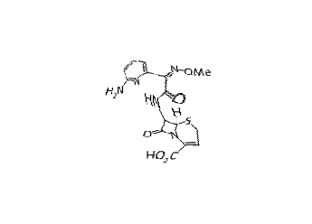 CO/N=C(\C(=O)NC1C(=O)N2C(C(=O)O)=CCS[C@H]12)c1cccc(N)n1